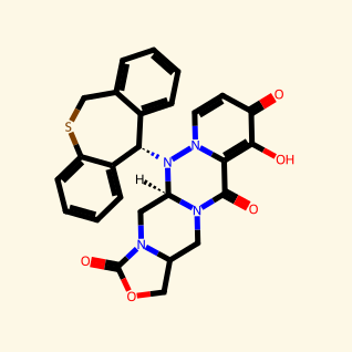 O=C1OCC2CN3C(=O)c4c(O)c(=O)ccn4N([C@H]4c5ccccc5CSc5ccccc54)[C@@H]3CN12